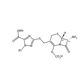 CCn1nc(SCC2=C(OC(=O)O)N3C(=O)[C@@H](N)[C@H]3SC2)nc1C(=O)OC